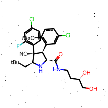 COc1ccc(Cl)cc1[C@H]1[C@H](C(=O)NCC[C@H](O)CO)N[C@@H](CC(C)(C)C)[C@]1(C#N)c1ccc(Cl)cc1F